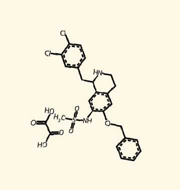 CS(=O)(=O)Nc1cc2c(cc1OCc1ccccc1)CCNC2Cc1ccc(Cl)c(Cl)c1.O=C(O)C(=O)O